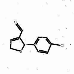 O=CC1=CCS[C@@H]1c1ccc(Cl)cc1